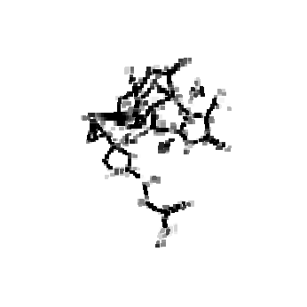 CCCC1([C@@H]2CC3OC(=O)[C@@]45O[C@@H]6OC(=O)[C@H](OCCOCC(=O)O)C62[C@@]34[C@@H](O)[C@@H]2OC(=O)C(C)[C@@]25O)C#C1